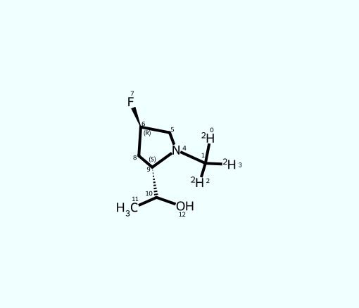 [2H]C([2H])([2H])N1C[C@H](F)C[C@H]1C(C)O